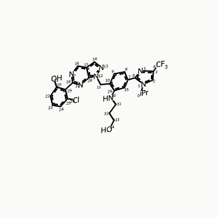 CC(C)n1cc(C(F)(F)F)nc1-c1ccc(Cn2ncc3cnc(-c4c(O)cccc4Cl)nc32)c(NCCCO)c1